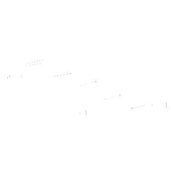 CCCCCCCC/C=C\CCCCCCCC(=O)O.[RbH]